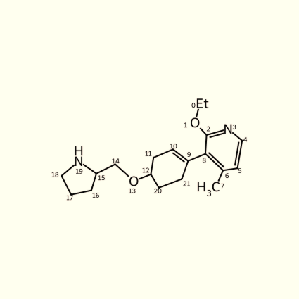 CCOc1nccc(C)c1C1=CCC(OCC2CCCN2)CC1